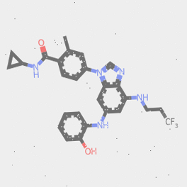 Cc1cc(-n2cnc3c(NCCC(F)(F)F)cc(Nc4ccccc4O)cc32)ccc1C(=O)NC1CC1